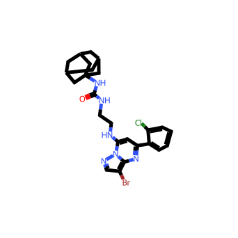 O=C(NCCNc1cc(-c2ccccc2Cl)nc2c(Br)cnn12)NC12CC3CC(CC(C3)C1)C2